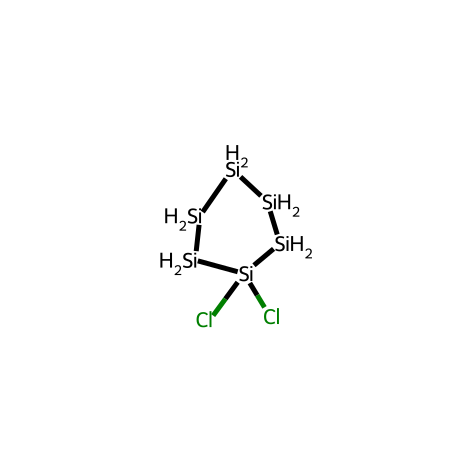 Cl[Si]1(Cl)[SiH2][SiH2][SiH2][SiH2][SiH2]1